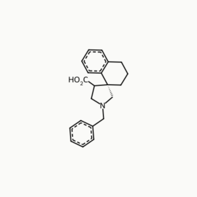 O=C(O)C1CN(Cc2ccccc2)C[C@]12CCCc1ccccc12